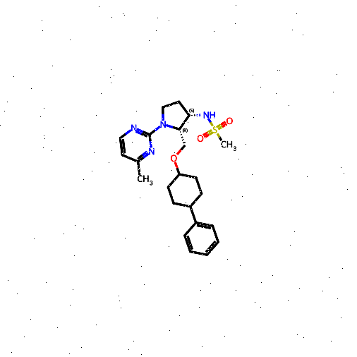 Cc1ccnc(N2CC[C@H](NS(C)(=O)=O)[C@@H]2COC2CCC(c3ccccc3)CC2)n1